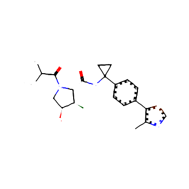 CC(=O)NC(C(=O)N1C[C@H](O)[C@H](F)[C@H]1C(=O)NC1(c2ccc(-c3scnc3C)cc2)CC1)C(C)(C)C